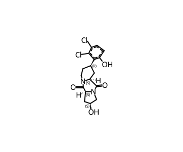 O=C1[C@@H]2C[C@H](O)CN2C(=O)[C@@H]2C[C@H](c3c(O)ccc(Cl)c3Cl)CCN12